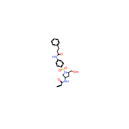 C=CC(=O)NC1CC(CO)N(S(=O)(=O)c2ccc(NC(=O)CCc3ccccc3)cc2)C1